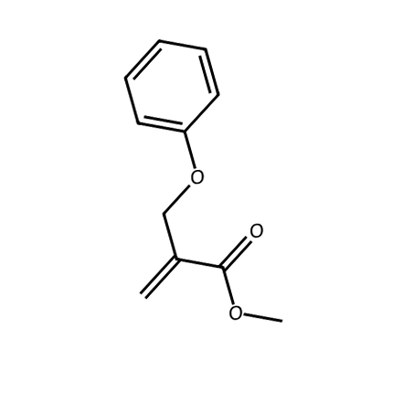 C=C(COc1ccccc1)C(=O)OC